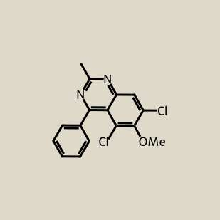 COc1c(Cl)cc2nc(C)nc(-c3ccccc3)c2c1Cl